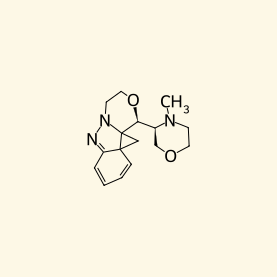 CN1CCOC[C@H]1[C@@H]1OCCN2N=C3C=CC=CC34CC124